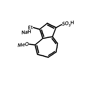 CCc1cc(S(=O)(=O)O)c2ccccc(OC)c1-2.[NaH]